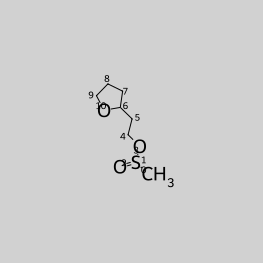 CS(=O)OCCC1CCCO1